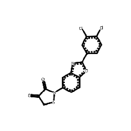 O=C1CSN(c2ccc3oc(-c4ccc(Cl)c(Cl)c4)nc3c2)C1=O